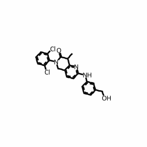 CC1C(=O)N(c2c(Cl)cccc2Cl)Cc2ccc(Nc3cccc(CO)c3)nc21